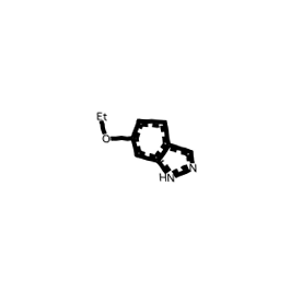 CCOc1ccc2cn[nH]c2c1